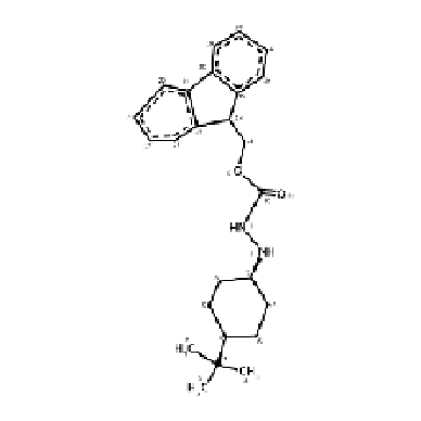 CC(C)(C)[C@H]1CC[C@@H](NNC(=O)OCC2c3ccccc3-c3ccccc32)CC1